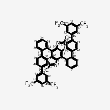 Cc1nc2c(-c3ccccc3-c3ccc(-c4cc(C(F)(F)F)cc(C(F)(F)F)c4)cc3)c3oc(C)nc3c(-c3ccccc3-c3ccc(-c4cc(C(F)(F)F)cc(C(F)(F)F)c4)cc3)c2o1